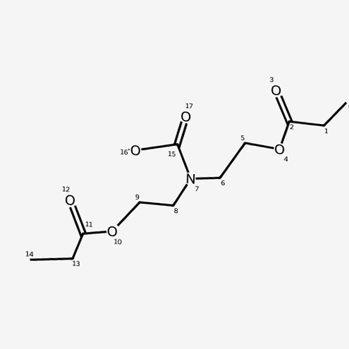 CCC(=O)OCCN(CCOC(=O)CC)C([O])=O